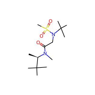 C[C@@H](N(C)C(=O)CN(C(C)(C)C)S(C)(=O)=O)C(C)(C)C